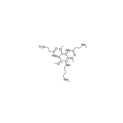 CO[C@H]1[C@@H](NC(=O)CCN)[C@@H](OC)[C@@H](NCCCN)[C@@H](OC)[C@H]1NC(=O)CCN